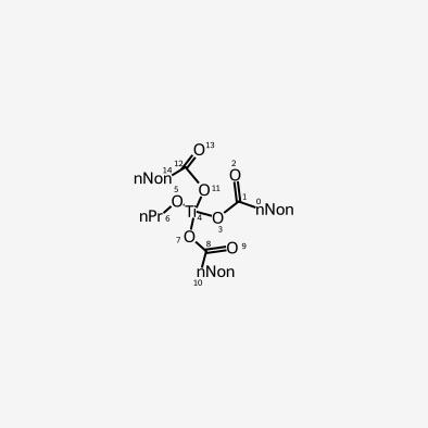 CCCCCCCCCC(=O)[O][Ti]([O]CCC)([O]C(=O)CCCCCCCCC)[O]C(=O)CCCCCCCCC